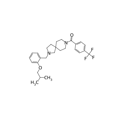 CC(C)COc1ccccc1CN1CCC2(CCN(C(=O)c3ccc(C(F)(F)F)cc3)CC2)C1